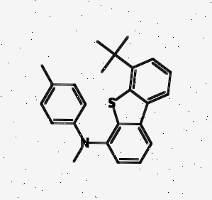 Cc1ccc(N(C)c2cccc3c2sc2c(C(C)(C)C)cccc23)cc1